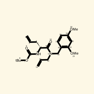 C=CC[C@@H](NC(=O)OC(C)(C)C)C(=O)N(CC=C)Cc1ccc(OC)cc1OC